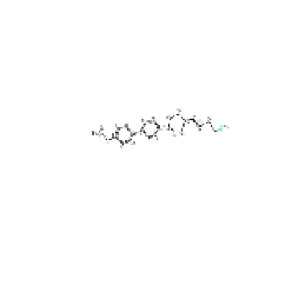 CCc1ccc(-c2ccc([C@H]3CC[C@H](/C=C/CCF)CC3)cc2)cc1